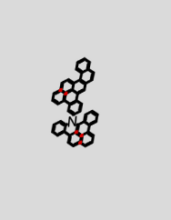 c1ccc(-c2cc(N(c3ccccc3-c3ccccc3)c3cc4ccccc4c4ccccc34)ccc2-c2cc3ccc4ccccc4c3c3ccccc23)cc1